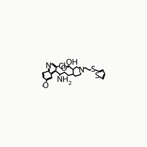 COc1ccc2ncc(Cl)c(C(N)CCC3CCN(CCSc4cccs4)CC3C(=O)O)c2c1